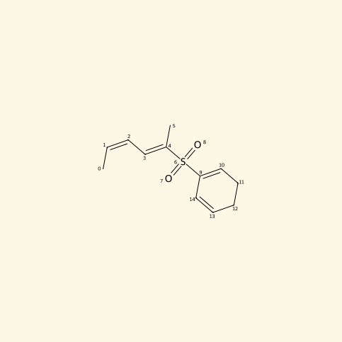 C/C=C\C=C(/C)S(=O)(=O)C1=CCCC=C1